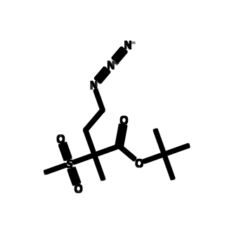 CC(C)(C)OC(=O)C(C)(CCN=[N+]=[N-])S(C)(=O)=O